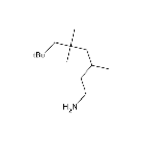 CC(CCN)CC(C)(C)CC(C)(C)C